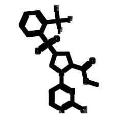 COC(=O)C1CC(S(=O)(=O)c2ccccc2C(F)(F)F)CN1c1ccnc(Cl)n1